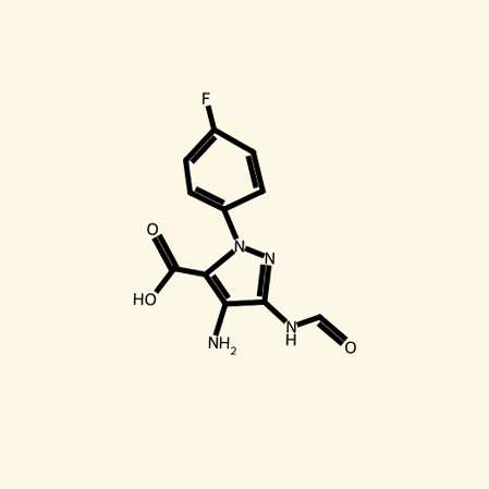 Nc1c(NC=O)nn(-c2ccc(F)cc2)c1C(=O)O